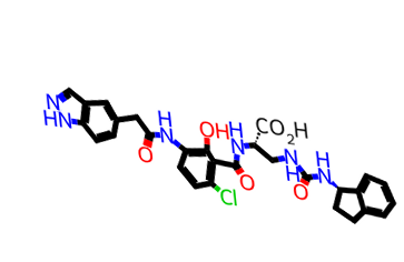 O=C(Cc1ccc2[nH]ncc2c1)Nc1ccc(Cl)c(C(=O)N[C@@H](CNC(=O)N[C@@H]2CCc3ccccc32)C(=O)O)c1O